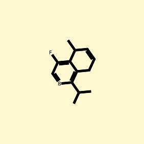 CC(C)c1bcc(F)c2c1CC=CC2C